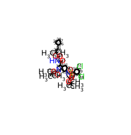 CC(C)(C)OC(=O)CN(c1ccc2c(C(=O)NC(=O)OC(C)(C)CCc3ccccc3)cn(C(=O)OC(C)(C)C)c2c1)S(=O)(=O)c1cc(Cl)cc(Cl)c1